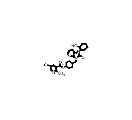 Cc1ncc(Cl)cc1C(=O)NC1CCC(Cn2c(=O)n(-c3ccccc3C#N)c3ccccc32)CC1